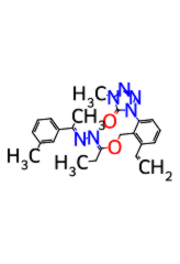 C=Cc1cccc(-n2nnn(C)c2=O)c1CO/C(CC)=N/N=C(\C)c1cccc(C)c1